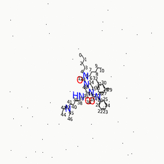 CCCCCN(CCCCC)C(=O)N1CCN(C(=O)N(c2ccccc2)c2cc(C)cc(C)c2)[C@H](C(=O)NCCCCN(CC)CC)C1